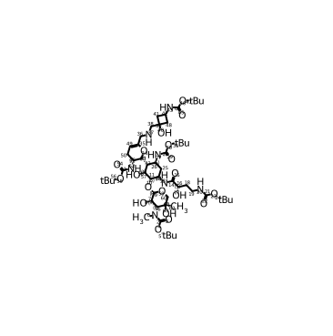 CN(C(=O)OC(C)(C)C)[C@@H]1[C@@H](O)[C@@H](O[C@H]2[C@H](NC(=O)[C@@H](O)CCNC(=O)OC(C)(C)C)C[C@H](NC(=O)OC(C)(C)C)C([C@H]3OC(CNCC4(O)CC(NC(=O)OC(C)(C)C)C4)=CC[C@H]3NC(=O)OC(C)(C)C)[C@@H]2O)OC[C@]1(C)O